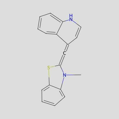 CN1C(=C=C2C=CNc3ccccc32)Sc2ccccc21